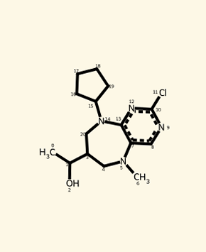 CC(O)C1CN(C)c2cnc(Cl)nc2N(C2CCCC2)C1